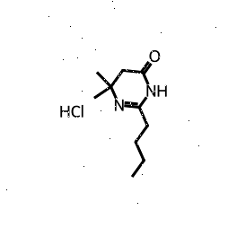 CCCCC1=NC(C)(C)CC(=O)N1.Cl